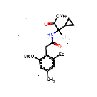 CCc1cc(C)cc(OC)c1CC(=O)NC(C)(C(=O)OC)C1CC1